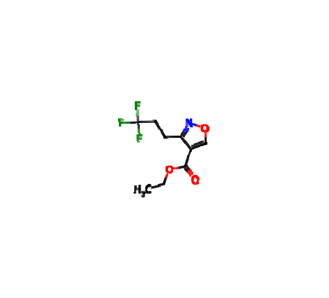 CCOC(=O)c1conc1CCC(F)(F)F